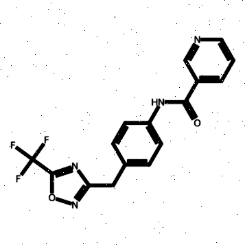 O=C(Nc1ccc(Cc2noc(C(F)(F)F)n2)cc1)c1cccnc1